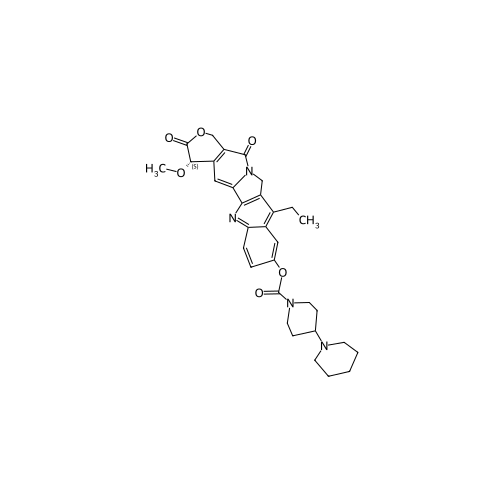 CCc1c2c(nc3ccc(OC(=O)N4CCC(N5CCCCC5)CC4)cc13)-c1cc3c(c(=O)n1C2)COC(=O)[C@H]3OC